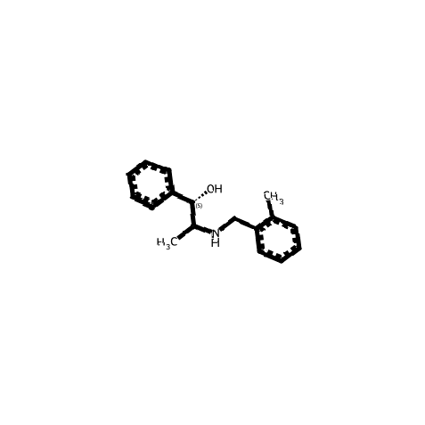 Cc1ccccc1CNC(C)[C@@H](O)c1ccccc1